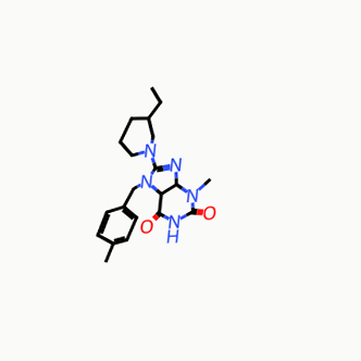 CCC1CCCN(C2=NC3C(C(=O)NC(=O)N3C)N2Cc2ccc(C)cc2)C1